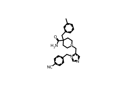 Cc1cccc(CC2(C(N)=O)CCN(Cc3cncn3Cc3ccc(C#N)cc3)CC2)c1